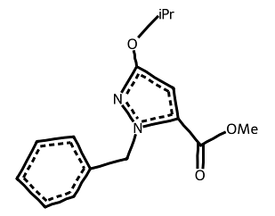 COC(=O)c1cc(OC(C)C)nn1Cc1ccccc1